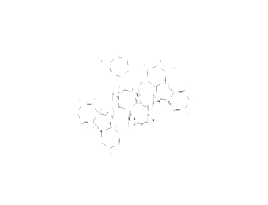 c1ccc(-c2nc(-n3c4ccccc4c4ccccc43)c3ncnc(-n4c5ccccc5c5ccccc54)c3n2)cc1